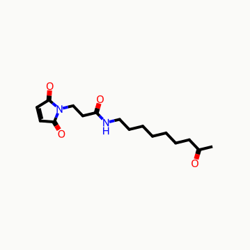 CC(=O)CCCCCCCNC(=O)CCN1C(=O)C=CC1=O